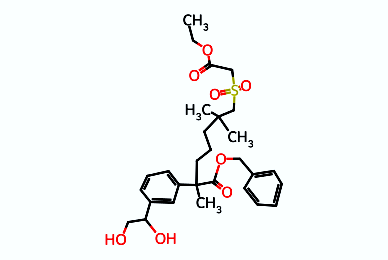 CCOC(=O)CS(=O)(=O)CC(C)(C)CCCC(C)(C(=O)OCc1ccccc1)c1cccc(C(O)CO)c1